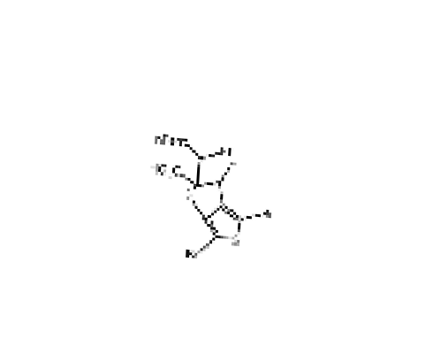 CCCCCC(CC)C1(C(=O)O)Sc2c(Br)sc(Br)c2C1F